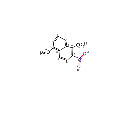 COc1cccc2c(C(=O)O)c(I(=O)=O)ccc12